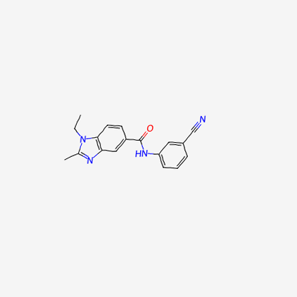 CCn1c(C)nc2cc(C(=O)Nc3cccc(C#N)c3)ccc21